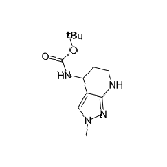 Cn1cc2c(n1)NCCC2NC(=O)OC(C)(C)C